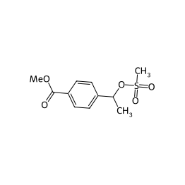 COC(=O)c1ccc(C(C)OS(C)(=O)=O)cc1